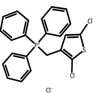 Clc1cc(C[P+](c2ccccc2)(c2ccccc2)c2ccccc2)c(Cl)s1.[Cl-]